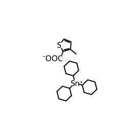 C1CC[CH]([Sn+]([CH]2CCCCC2)[CH]2CCCCC2)CC1.Cc1ccsc1C(=O)[O-]